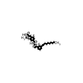 CCCCCCCCC#Cc1cccc(-c2csc(NC(=O)c3cc(F)c(/C=C(\OC)C(=O)O)c(F)c3)n2)c1F